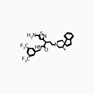 C[C@H]1CN(CCC(C(=O)NCc2cc(C(F)(F)F)cc(C(F)(F)F)c2)c2cc(N)sn2)CC[C@@]12C=Cc1ccccc12